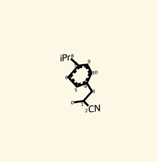 CC(C#N)Cc1ccc(C(C)C)cc1